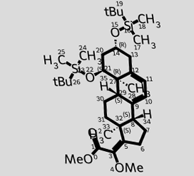 COC(=O)C(OC)=C1CC[C@H]2C3=CC=C4C[C@@H](O[Si](C)(C)C(C)(C)C)C[C@H](O[Si](C)(C)C(C)(C)C)[C@]4(C)[C@H]3CC[C@]12C